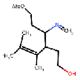 C=NC(CCOC)C(CCO)C(C)=C(C)C